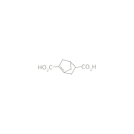 O=C(O)C1=C2CC(C1)C(C(=O)O)C2